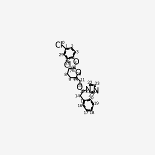 Clc1ccc(O[C@H]2CCC[C@H](COC(Cc3ccccc3)n3ccnc3)O2)c(Cl)c1